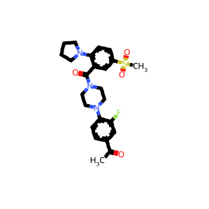 CC(=O)c1ccc(N2CCN(C(=O)c3cc(S(C)(=O)=O)ccc3N3CCCC3)CC2)c(F)c1